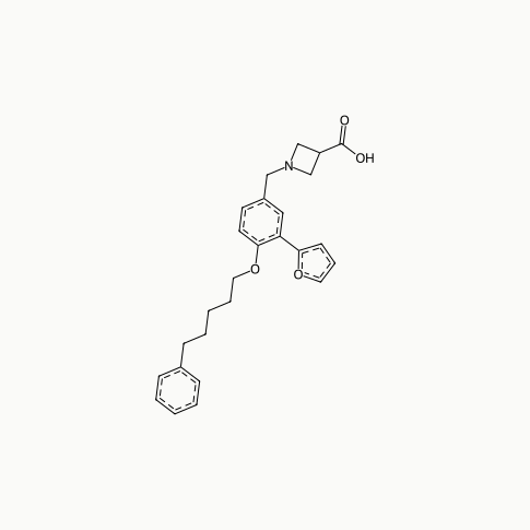 O=C(O)C1CN(Cc2ccc(OCCCCCc3ccccc3)c(-c3ccco3)c2)C1